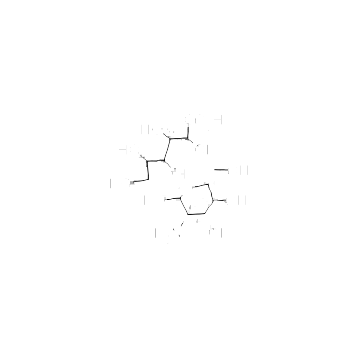 N[C@H]1C(O)O[C@H](CO)[C@@H](O)[C@@H]1O.O=C(O)C(O)C(O)C(O)C(O)CO